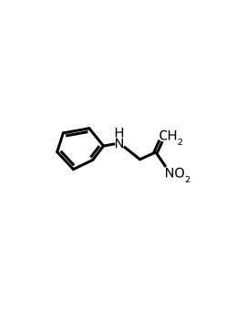 C=C(CNc1ccccc1)[N+](=O)[O-]